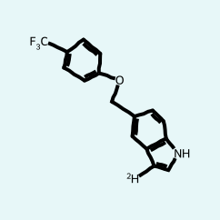 [2H]c1c[nH]c2ccc(COc3ccc(C(F)(F)F)cc3)cc12